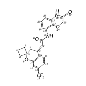 O=C(/C=C1\CC2(CCC2)Oc2cc(C(F)(F)F)ccc21)Nc1cccc2c1OCC(=O)N2